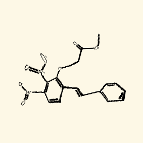 COC(=O)COc1c(C=Cc2ccccc2)ccc([N+](=O)[O-])c1[N+](=O)[O-]